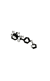 C[C@H]1[C@H](NC(=O)c2ccc(SN3CC=CS3)cc2)C2CCN1CC2